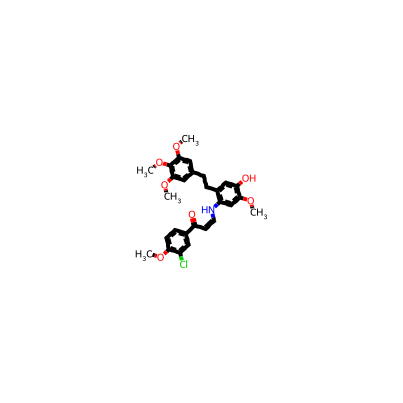 COc1cc(N/C=C\C(=O)c2ccc(OC)c(Cl)c2)c(CCc2cc(OC)c(OC)c(OC)c2)cc1O